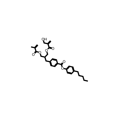 C=C(C)C(=O)OCC(COC(=O)C(=C)CO)Cc1ccc(C(=O)Oc2ccc(CCCCC)cc2)cc1